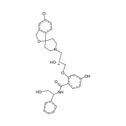 O=C(NC(CO)c1ccccc1)c1ccc(O)cc1OC[C@H](O)CN1CCC2(CC1)OCc1cc(Cl)ccc12